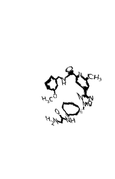 COc1cccc(CNC(=O)c2cc(-c3nnn(C[C@H]4CCC[C@@H](NC(=O)CN)C4)n3)cc(C)n2)c1